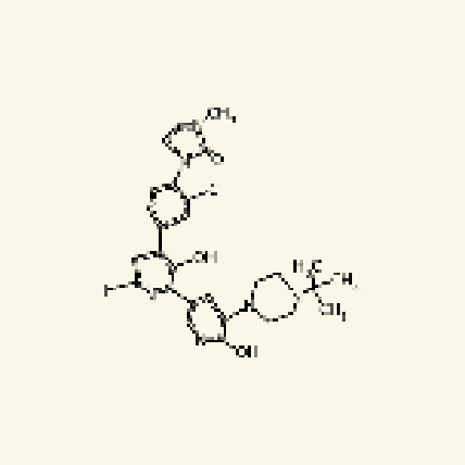 Cn1ccn(-c2ccc(-c3cc(F)nc(-c4cnc(O)c(N5CCN(C(C)(C)C)CC5)c4)c3O)cc2Cl)c1=O